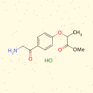 COC(=O)C(C)Oc1ccc(C(=O)CN)cc1.Cl